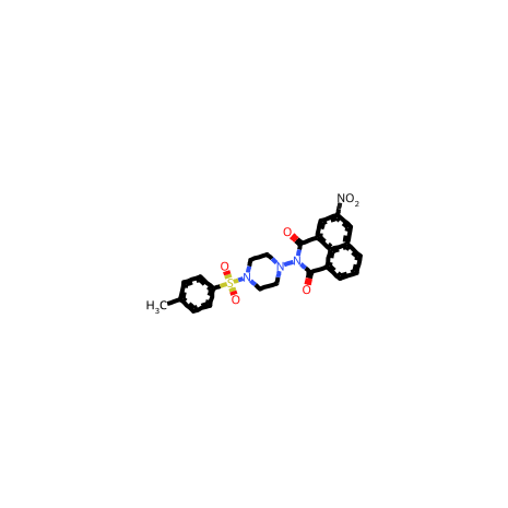 Cc1ccc(S(=O)(=O)N2CCN(N3C(=O)c4cccc5cc([N+](=O)[O-])cc(c45)C3=O)CC2)cc1